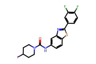 O=C(Nc1ccc2sc(-c3ccc(F)c(F)c3)nc2c1)N1CCC(I)CC1